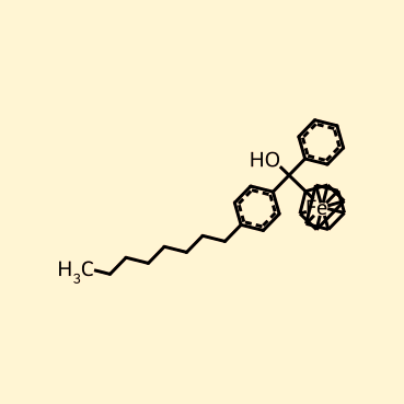 CCCCCCCCc1ccc(C(O)(c2ccccc2)[C]23[CH]4[CH]5[CH]6[CH]2[Fe]56432789[CH]3[CH]2[CH]7[CH]8[CH]39)cc1